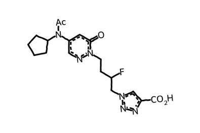 CC(=O)N(c1cnn(CCC(F)Cn2cc(C(=O)O)nn2)c(=O)c1)C1CCCC1